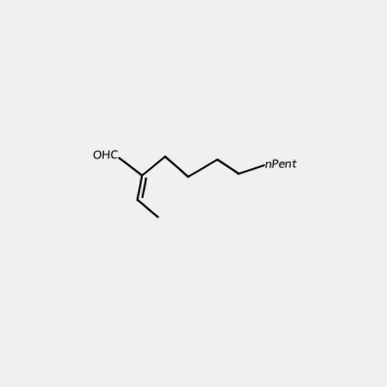 CC=C(C=O)CCCCCCCCC